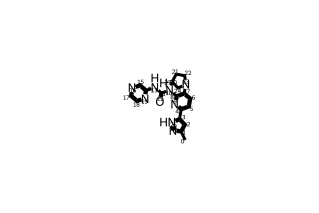 Cc1cc(-c2ccc3c(n2)N(C(=O)Nc2cnccn2)[C@H]2CCN3C2)[nH]n1